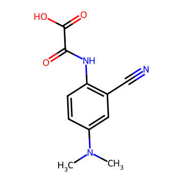 CN(C)c1ccc(NC(=O)C(=O)O)c(C#N)c1